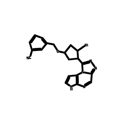 CCC1CC(OCc2cccc(C#N)c2)CC1c1nnc2cnc3[nH]ccc3n12